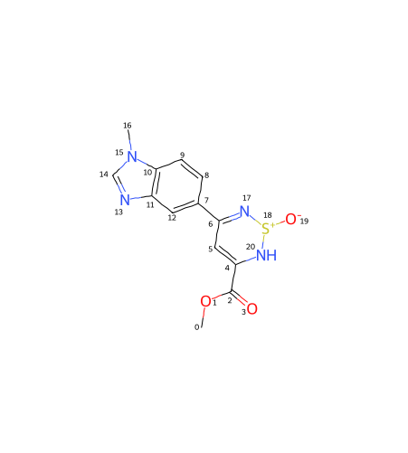 COC(=O)C1=CC(c2ccc3c(c2)ncn3C)=N[S+]([O-])N1